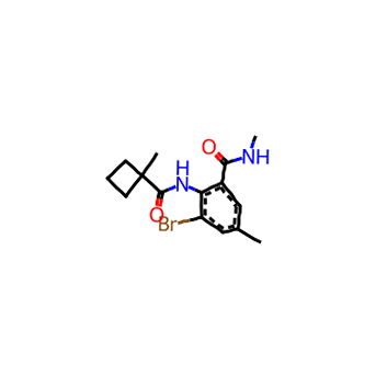 CNC(=O)c1cc(C)cc(Br)c1NC(=O)C1(C)CCC1